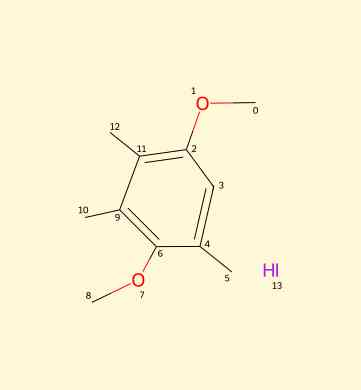 COc1cc(C)c(OC)c(C)c1C.I